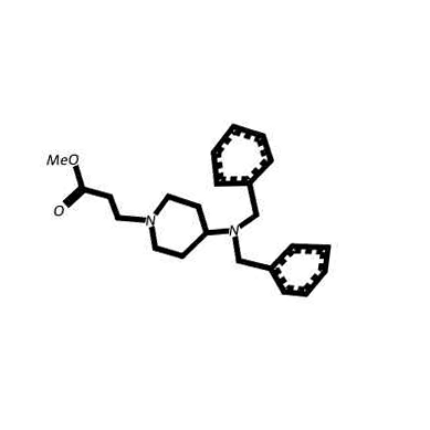 COC(=O)CCN1CCC(N(Cc2ccccc2)Cc2ccccc2)CC1